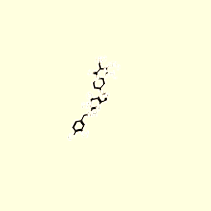 CN(C)C(CO)C(=O)N1CCC(n2ncc3nc(NCc4ccc(Cl)c(Cl)c4)[nH]c(=O)c32)CC1